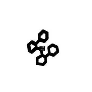 c1ccc(-c2ccccc2PC2CCCCC2C2CCCCC2)cc1